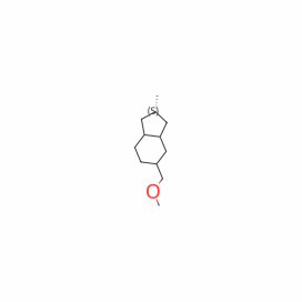 COCC1CCC2C[C@H](C)CC2C1